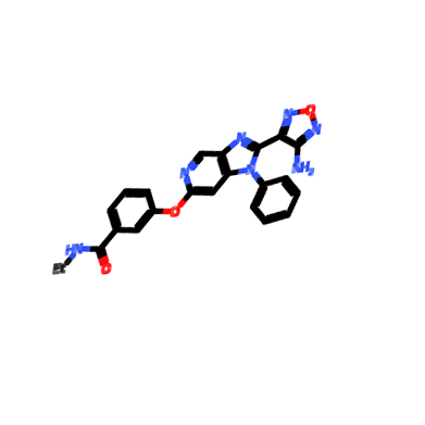 CCNC(=O)c1cccc(Oc2cc3c(cn2)nc(-c2nonc2N)n3-c2ccccc2)c1